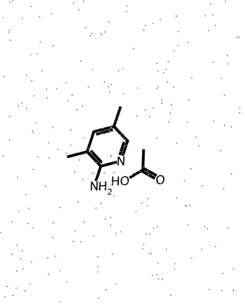 CC(=O)O.Cc1cnc(N)c(C)c1